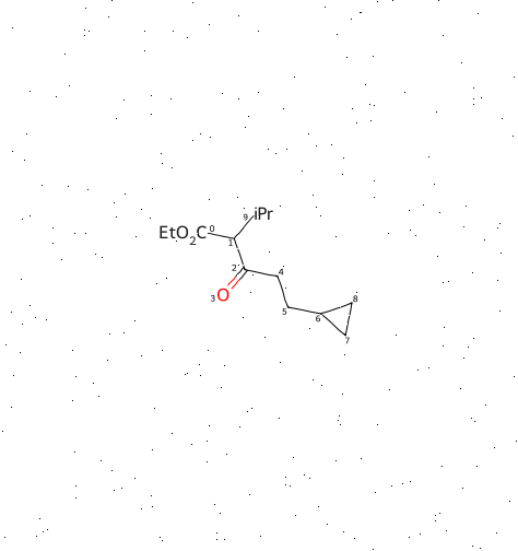 CCOC(=O)C(C(=O)CCC1CC1)C(C)C